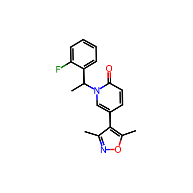 Cc1noc(C)c1-c1ccc(=O)n(C(C)c2ccccc2F)c1